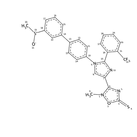 Cn1oc(=S)nc1-c1cn(-c2ccc(-c3cccc([S+](C)[O-])c3)cc2)c(-c2ccccc2C(F)(F)F)n1